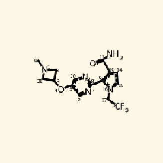 CN1CC(Oc2cnc(-c3c(C(N)=O)ccn3CC(F)(F)F)nc2)C1